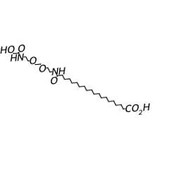 O=C(O)CCCCCCCCCCCCCCCCCCC(=O)NCCOCCOCCNC(=O)CO